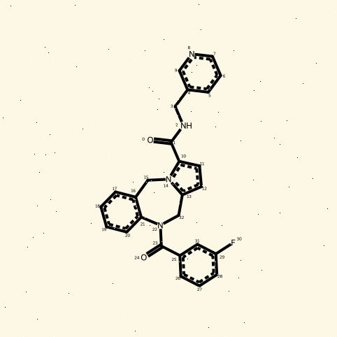 O=C(NCc1cccnc1)c1ccc2n1Cc1ccccc1N(C(=O)c1cccc(F)c1)C2